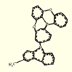 Cc1ccc2c(c1)c1ccccc1n2-c1ccc2c(c1)Oc1cccc3c1B2c1ccccc1O3